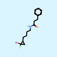 O=C(CCc1ccccc1)NCCCCC1CC1(F)Br